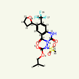 CC(C)COC(=O)N(n1c(=O)[nH]c2cc(C(F)(F)F)c(C3CCCO3)cc2c1=O)S(C)(=O)=O